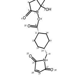 CC1(O)CCC(=O)B1OC(=O)[C@H]1CC[C@@H](CN2C(=O)C=CC2=O)CC1